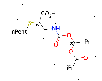 CCCCCS[C@@H](CNC(=O)O[C@@H](OC(=O)C(C)C)C(C)C)C(=O)O